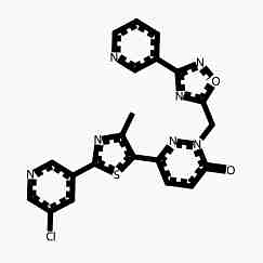 Cc1nc(-c2cncc(Cl)c2)sc1-c1ccc(=O)n(Cc2nc(-c3cccnc3)no2)n1